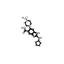 CN1CCN(c2cc3[nH]c(NC4CCCC4)nc3cc2C(=O)O)CC1